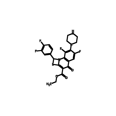 CCOC(=O)c1c2n(c3c(F)c(N4CCNCC4)c(F)cc3c1=O)C(c1ccc(F)c(F)c1)S2